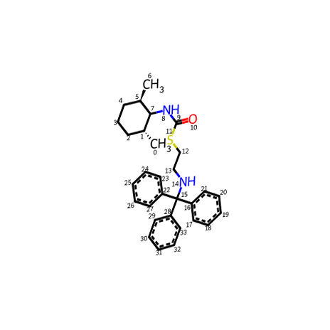 C[C@@H]1CCC[C@@H](C)C1NC(=O)SCCNC(c1ccccc1)(c1ccccc1)c1ccccc1